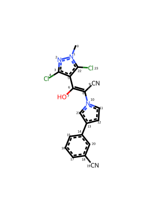 Cn1nc(Cl)c(C(O)=C(C#N)n2ccc(-c3cccc(C#N)c3)c2)c1Cl